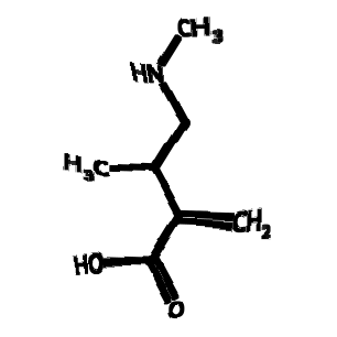 C=C(C(=O)O)C(C)CNC